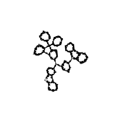 c1ccc(C2(c3ccccc3)c3ccccc3-c3cc(N(c4cccc(-n5c6ccccc6c6ccccc65)c4)c4ccc5oc6ccccc6c5c4)ccc32)cc1